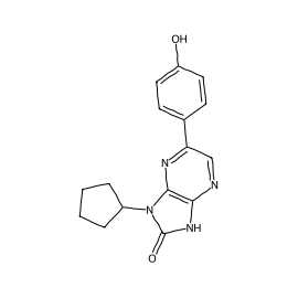 O=c1[nH]c2ncc(-c3ccc(O)cc3)nc2n1C1CCCC1